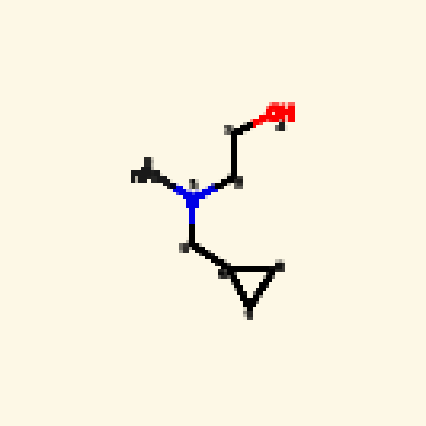 CCCN(CCO)CC1CC1